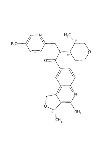 C[C@@H]1OCc2c1c(N)nc1ccc(C(=O)N(Cc3ccc(C(F)(F)F)cn3)[C@H]3CCOC[C@H]3C)cc21